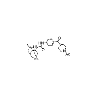 CC(=O)N1CCN(C(=O)c2ccc(NC(=O)NC34CC5C[C@@](C)(C3)C[C@](C)(C5)C4)cc2)CC1